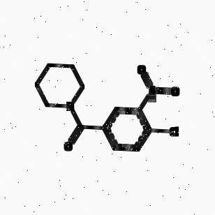 O=C(c1ccc(Cl)c([SH](=O)=O)c1)N1CCCCC1